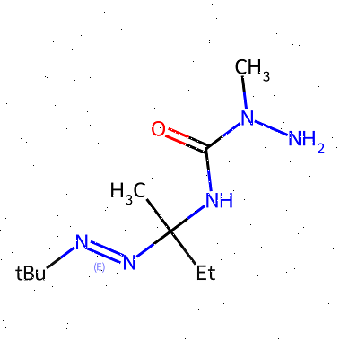 CCC(C)(/N=N/C(C)(C)C)NC(=O)N(C)N